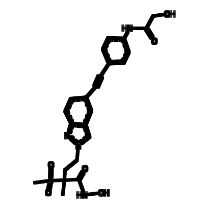 CC(CCn1cc2cc(C#Cc3ccc(NC(=O)CO)cc3)ccc2n1)(C(=O)NO)S(C)(=O)=O